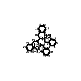 Oc1ccccc1CNC(Cc1ccccc1O)C(Cc1ccccc1O)NCc1ccccc1O